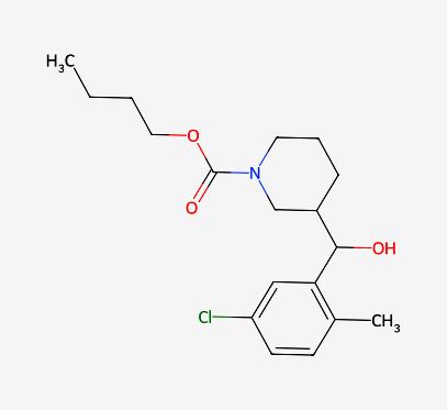 CCCCOC(=O)N1CCCC(C(O)c2cc(Cl)ccc2C)C1